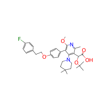 COc1nc(C)c(C(OC(C)(C)C)C(=O)O)c(N2CCC(C)(C)CC2)c1-c1ccc(OCCc2ccc(F)cc2)cc1